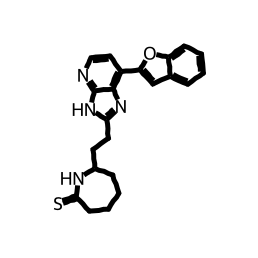 S=C1CCCCC(CCc2nc3c(-c4cc5ccccc5o4)ccnc3[nH]2)N1